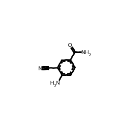 N#Cc1cc(C(N)=O)ccc1N